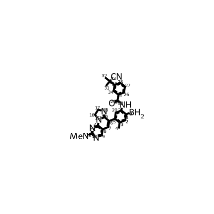 Bc1cc(C)c(C2=Cc3cnc(NC)nc3N3CCN=C23)cc1NC(=O)c1cccc(C(C)(C)C#N)c1